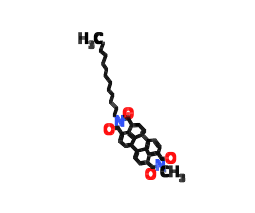 CCCCCCCCCCCCCN1C(=O)c2ccc3c4ccc5c6c(ccc(c7ccc(c2c37)C1=O)c64)C(=O)N(C)C5=O